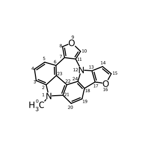 Cn1c2cccc3c4cocc4n4c5ccoc5c5ccc1c(c32)c54